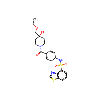 O=C(C1=CCC(NS(=O)(=O)c2cccc3scnc23)C=C1)N1CCC(O)(COCC(F)(F)F)CC1